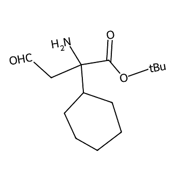 CC(C)(C)OC(=O)C(N)(CC=O)C1CCCCC1